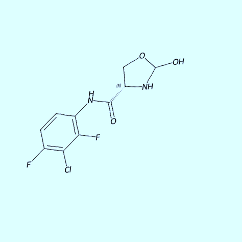 O=C(Nc1ccc(F)c(Cl)c1F)[C@@H]1COC(O)N1